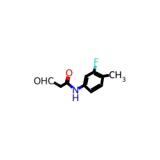 Cc1ccc(NC(=O)CC=O)cc1F